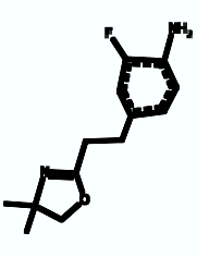 CC1(C)COC(CCc2ccc(N)c(F)c2)=N1